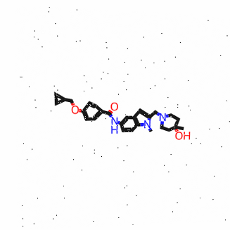 Cn1c(CN2CCC(C)(O)CC2)cc2cc(NC(=O)c3ccc(OCC4CC4)cc3)ccc21